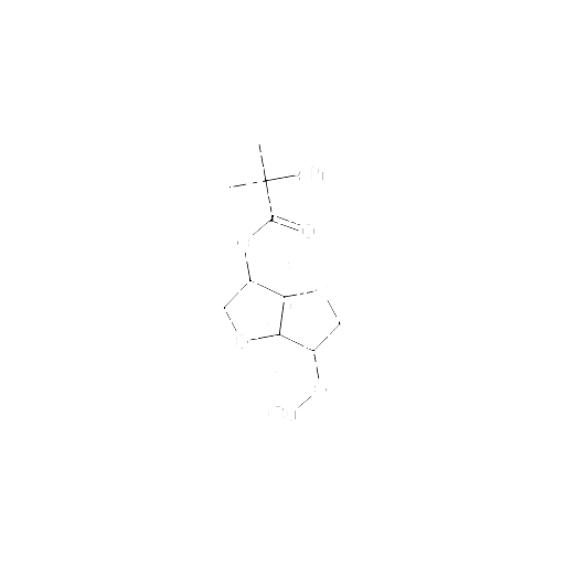 CCCC(C)(C)C(=O)OC1CO[C@]2(C)C(OC(C)(C)C)CO[C@]12C